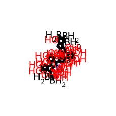 Bc1c(B)c(O)c2c(c1B)-c1c(O)c(-c3c(O)c(O)c(O)c(O)c3-c3c(O)c(O)c(C4=c5c(C)c(O)c(O)c(O)c5=C(c5c(O)c(O)c(O)c(O)c5-c5c(B)c(B)c(O)c(O)c5O)C/C4=C(O)\C(O)=C(\O)C#C)c(O)c3O)c(O)c(O)c1C2